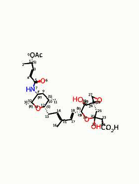 CC(=O)O[C@@H](C)C=CC(=O)N[C@@H]1C[C@H](C)[C@H](CC=C(C)C=C[C@H]2OC(O)(CC(=O)O)C[C@@]3(CO3)[C@@H]2O)O[C@@H]1C